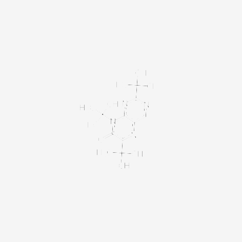 CC(C)(C)c1ncc2nc(C(C)(C)C)c(=O)n(C(C)(C)C)c2n1